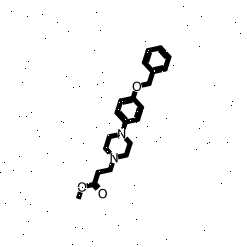 COC(=O)CCN1CCN(c2ccc(OCc3ccccc3)cc2)CC1